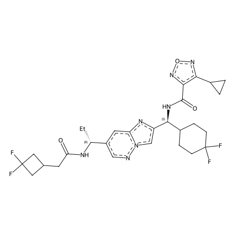 CC[C@@H](NC(=O)CC1CC(F)(F)C1)c1cnn2cc([C@@H](NC(=O)c3nonc3C3CC3)C3CCC(F)(F)CC3)nc2c1